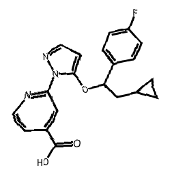 O=C(O)c1ccnc(-n2nccc2OC(CC2CC2)c2ccc(F)cc2)c1